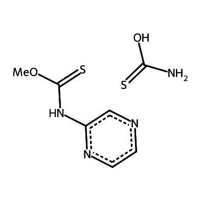 COC(=S)Nc1cnccn1.NC(O)=S